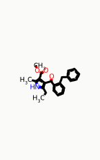 CCc1[nH]c(C)c(C(=O)OC)c1C(=O)c1ccccc1Cc1ccccc1